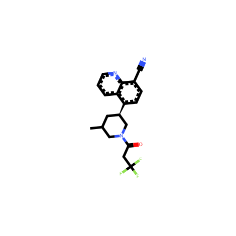 CC1C[C@@H](c2ccc(C#N)c3ncccc23)CN(C(=O)CC(F)(F)F)C1